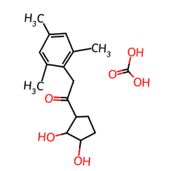 Cc1cc(C)c(CC(=O)C2CCC(O)C2O)c(C)c1.O=C(O)O